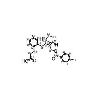 Cc1ccc(S(=O)OC[C@H]2[C@@H](Cc3ccccc3CCC(=O)O)[C@@H]3CC[C@H]2O3)cc1